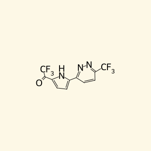 O=C(c1ccc(-c2ccc(C(F)(F)F)nn2)[nH]1)C(F)(F)F